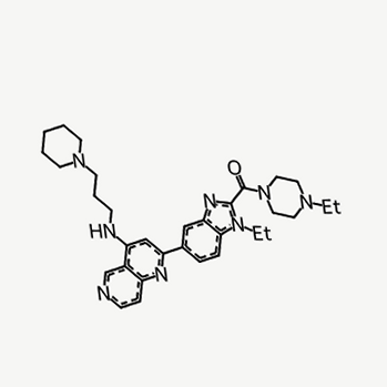 CCN1CCN(C(=O)c2nc3cc(-c4cc(NCCCN5CCCCC5)c5cnccc5n4)ccc3n2CC)CC1